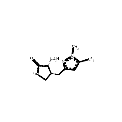 Cn1nc(C[C@H]2CNC(=O)[C@@H]2C(=O)O)cc1C(F)(F)F